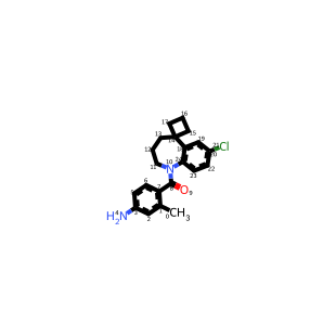 Cc1cc(N)ccc1C(=O)N1CCCC2(CCC2)c2cc(Cl)ccc21